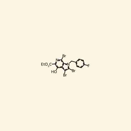 CCOC(=O)c1nc(Br)c2c(c1O)c(Br)c(Br)n2Cc1ccc(F)cc1